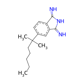 CCCCCC(C)(C)c1ccc2c(c1)C(=N)NC2=N